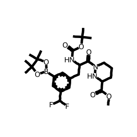 COC(=O)C1CCCN(C(=O)C(Cc2cc(B3OC(C)(C)C(C)(C)O3)cc(C(F)F)c2)NC(=O)OC(C)(C)C)N1